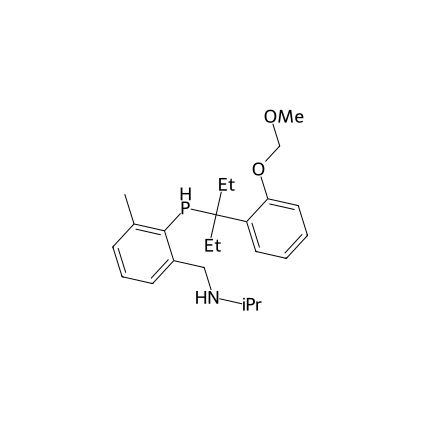 CCC(CC)(Pc1c(C)cccc1CNC(C)C)c1ccccc1OCOC